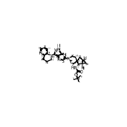 CC(C)(C)OC(=O)N[C@H]1[C@@H]2C[C@H]2CC12CCN(c1cnc3c(N4CCCc5ncccc54)n[nH]c3n1)CC2